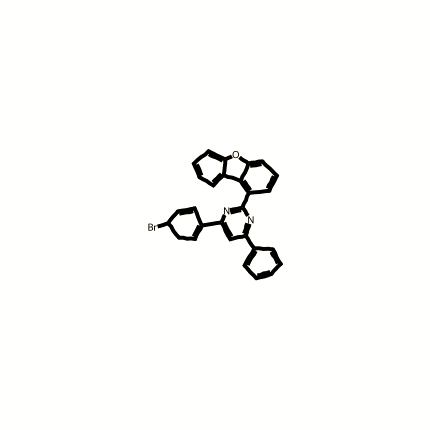 BrC1C=CC(c2cc(-c3ccccc3)nc(-c3cccc4oc5ccccc5c34)n2)=CC1